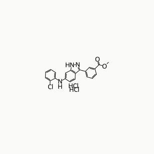 COC(=O)c1cccc(-c2n[nH]c3cc(Nc4ccccc4Cl)ccc23)c1.Cl.Cl